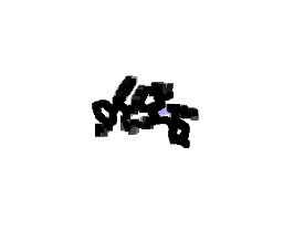 CCN1CCCC(NC2=NN=C(c3ccc(C)cc3SC)/C(=C/C(C)=N)N2)C1